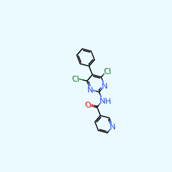 O=C(Nc1nc(Cl)c(-c2ccccc2)c(Cl)n1)c1cccnc1